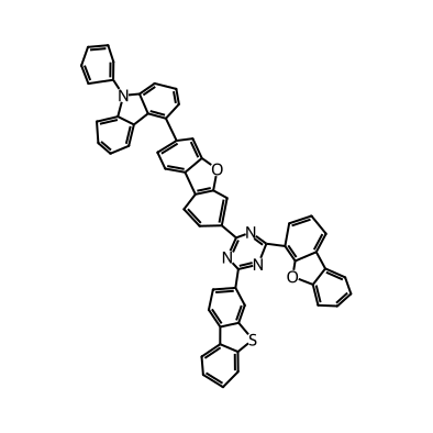 c1ccc(-n2c3ccccc3c3c(-c4ccc5c(c4)oc4cc(-c6nc(-c7ccc8c(c7)sc7ccccc78)nc(-c7cccc8c7oc7ccccc78)n6)ccc45)cccc32)cc1